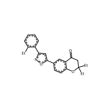 CCc1ccccc1-c1cc(-c2ccc3c(c2)C(=O)CC(CC)(CC)O3)on1